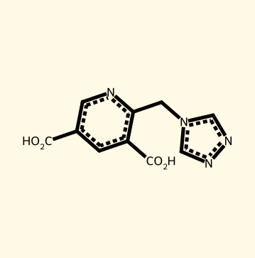 O=C(O)c1cnc(Cn2cnnc2)c(C(=O)O)c1